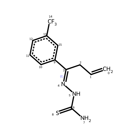 C=CC/C(=N\NC(N)=S)c1cccc(C(F)(F)F)c1